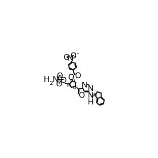 NS(=O)(=O)OC[C@@H]1C[C@H](c2coc3c(N[C@H]4CCc5ccccc54)ncnc23)C[C@@H]1OC(=O)c1ccc([N+](=O)[O-])cc1